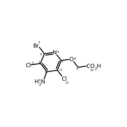 Nc1c(Cl)c(Br)nc(OCC(=O)O)c1Cl